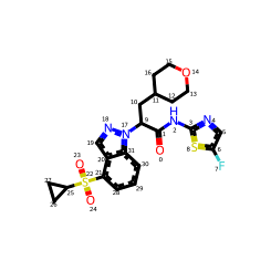 O=C(Nc1ncc(F)s1)C(CC1CCOCC1)n1ncc2c(S(=O)(=O)C3CC3)cccc21